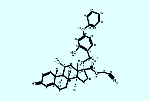 C[C@]12C=CC(=O)C=C1CC[C@H]1[C@@H]3CC[C@](OC(=O)c4ccc(Oc5ccccc5)cc4O)(C(=O)OCC#N)[C@@]3(C)C[C@H](O)[C@@]12F